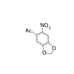 CC(=O)c1cc2c(cc1[N+](=O)[O-])OCO2